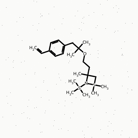 C=Cc1ccc(CC(C)(C)OCCC2(C)CS(C)(C)N2S(C)(C)C)cc1